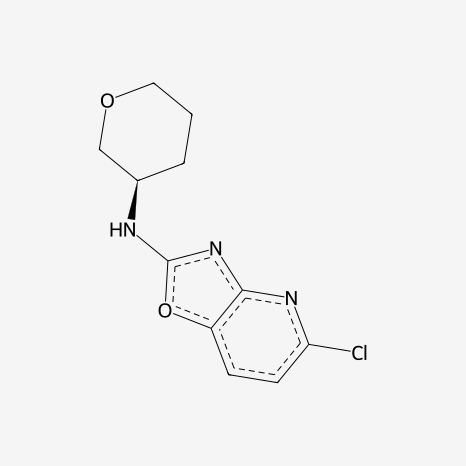 Clc1ccc2oc(N[C@@H]3CCCOC3)nc2n1